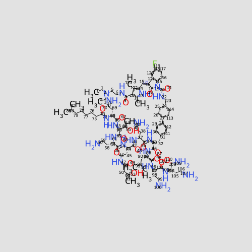 CCN(CC)CCNC(=O)c1c(C)[nH]c(/C=C2\C(=O)N(C(=O)NCc3ccc(-c4ccc(C[C@@H](NC(=O)C(CCN)NC(=O)[C@H](CCNC(=O)C[C@@H](C)O)NC(=O)[C@H](CCN)NC(=O)[C@@H](NC(=O)[C@@H](CCN)NC(=O)CCCCCC(C)C)[C@@H](C)O)C(=O)N[C@@H](CC(C)C)C(=O)N[C@@H](CCN)C(=O)N[C@@H](CCN)C(N)=O)cc4)cc3)c3ccc(F)cc32)c1C